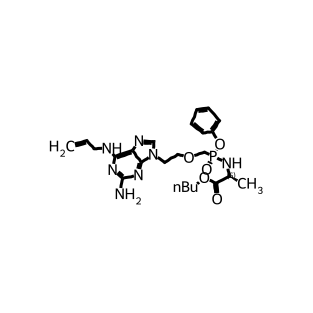 C=CCNc1nc(N)nc2c1ncn2CCOCP(=O)(N[C@@H](C)C(=O)OCCCC)Oc1ccccc1